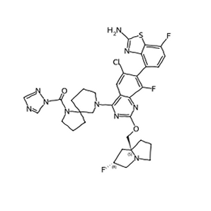 Nc1nc2c(-c3c(Cl)cc4c(N5CCCC6(CCCN6C(=O)n6cncn6)C5)nc(OC[C@@]56CCCN5C[C@H](F)C6)nc4c3F)ccc(F)c2s1